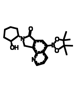 CC1(C)OB(c2cc3c(c4ncccc24)CN([C@H]2CCCC[C@@H]2O)C3=O)OC1(C)C